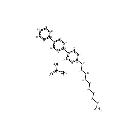 CC(=O)O.CCCCCCCCCCc1cnc(-c2ccc(-c3ccccc3)cc2)nc1